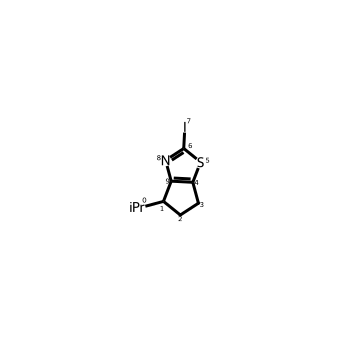 CC(C)C1CCc2sc(I)nc21